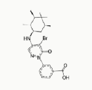 C[C@@H]1[C@@H](C)C(C)(C)[C@@H](C)C[C@H]1Nc1cnn(-c2cccc(C(=O)O)c2)c(=O)c1Br